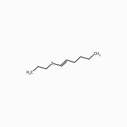 CCCCC=CSCCC